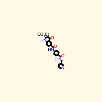 CCOC(=O)c1c[nH]c2ccc(C(=O)Nc3ccc(C(=O)NCc4cccnc4)cc3)cc2c1=O